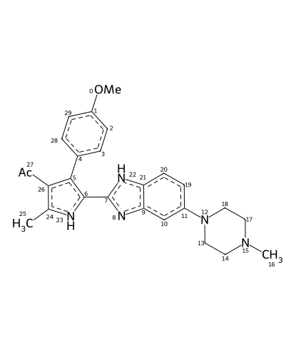 COc1ccc(-c2c(-c3nc4cc(N5CCN(C)CC5)ccc4[nH]3)[nH]c(C)c2C(C)=O)cc1